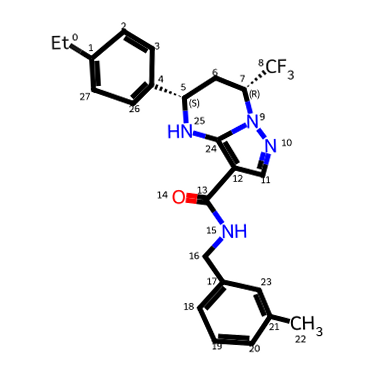 CCc1ccc([C@@H]2C[C@H](C(F)(F)F)n3ncc(C(=O)NCc4cccc(C)c4)c3N2)cc1